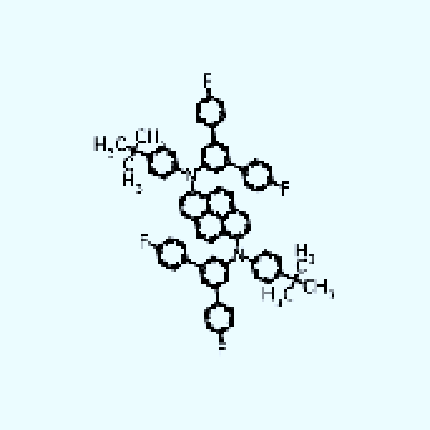 CC(C)(C)c1ccc(N(c2cc(-c3ccc(F)cc3)cc(-c3ccc(F)cc3)c2)c2ccc3ccc4c(N(c5ccc(C(C)(C)C)cc5)c5cc(-c6ccc(F)cc6)cc(-c6ccc(F)cc6)c5)ccc5ccc2c3c54)cc1